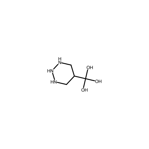 OC(O)(O)C1CNNNC1